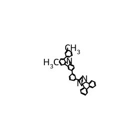 Cc1ccc2c(c1)c1cc(C)cc3c4cc(-c5cccc(-c6cnc7c8ccccc8c8ccccc8c7n6)c5)ccc4n2c13